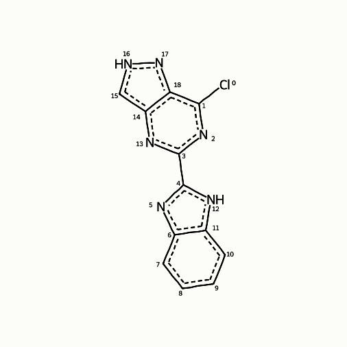 Clc1nc(-c2nc3ccccc3[nH]2)nc2c[nH]nc12